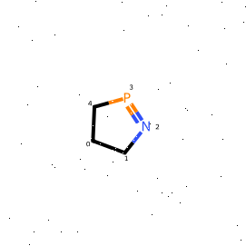 C1CN=PC1